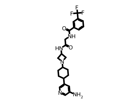 Nc1cncc(C2CCC(N3CC(NC(=O)CNC(=O)c4cccc(C(F)(F)F)c4)C3)CC2)c1